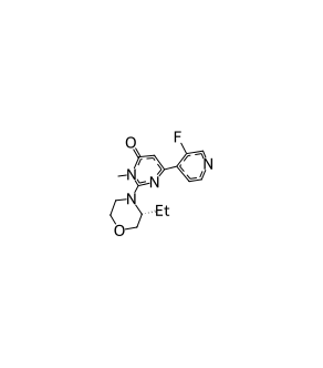 CC[C@@H]1COCCN1c1nc(-c2ccncc2F)cc(=O)n1C